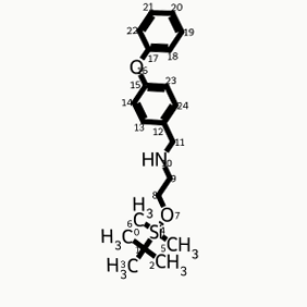 CC(C)(C)[Si](C)(C)OCCNCc1ccc(Oc2ccccc2)cc1